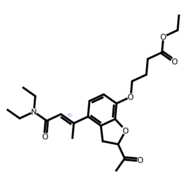 CCOC(=O)CCCOc1ccc(/C(C)=C/C(=O)N(CC)CC)c2c1OC(C(C)=O)C2